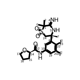 CC1(C)C(=N)N[C@](C)(c2cc(NC(=O)[C@H]3CCCO3)cc(F)c2F)CS1(=O)=O